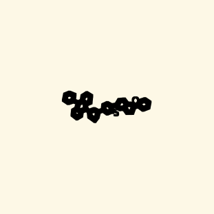 c1ccc(-c2c3ccccc3c(-c3cccc(-c4ccc5c(c4)sc4c5ccc5c4ccc4c6ccccc6oc45)c3)c3ccccc23)cc1